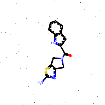 Nc1nc2c(s1)CN(C(=O)c1cc3ccccc3[nH]1)C2